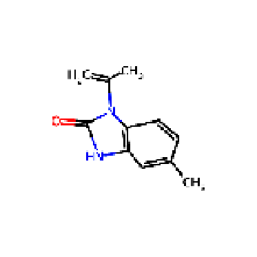 C=C(C)n1c(=O)[nH]c2cc(C)ccc21